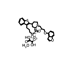 CN(C)CCCc1c(C2CCN(C[C@H](O)COc3cccc4occc34)CC2)sc2ccccc12.O.O=C(O)C(=O)O